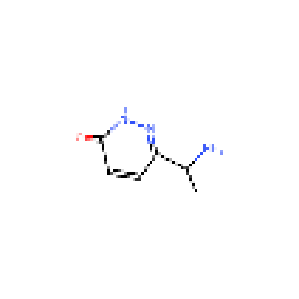 CC(N)c1ccc(=O)[nH]n1